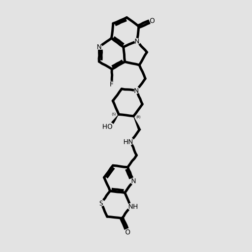 O=C1CSc2ccc(CNC[C@@H]3CN(CC4Cn5c(=O)ccc6ncc(F)c4c65)CC[C@@H]3O)nc2N1